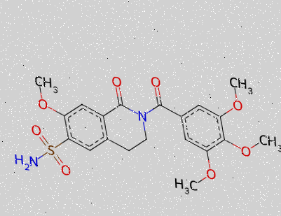 COc1cc2c(cc1S(N)(=O)=O)CCN(C(=O)c1cc(OC)c(OC)c(OC)c1)C2=O